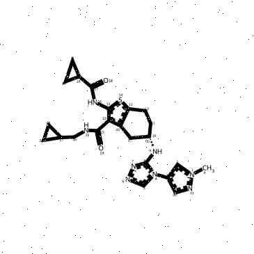 Cn1cc(-n2cnnc2N[C@H]2CCc3sc(NC(=O)C4CC4)c(C(=O)NCC4CC4)c3C2)cn1